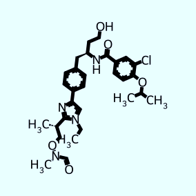 CCn1cc(-c2ccc(C[C@@H](CCO)NC(=O)c3ccc(OC(C)C)c(Cl)c3)cc2)nc1[C@@H](C)CON(C)C=O